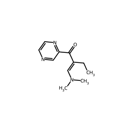 CCC(=CN(C)C)C(=O)c1cnccn1